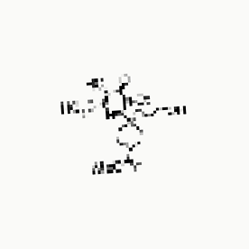 CCn1c(C2(OCCO)CCN(C(=O)OC)CC2)nc(C(=O)O)c(O)c1=O